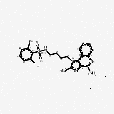 CCCCc1nc2c(N)nc3ccccc3c2n1CCCCNS(=O)(=O)c1c(F)cccc1F